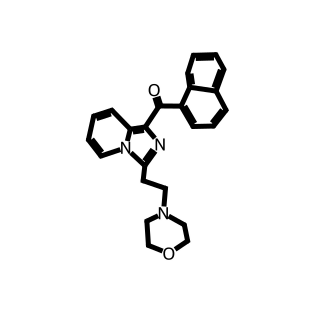 O=C(c1cccc2ccccc12)c1nc(CCN2CCOCC2)n2ccccc12